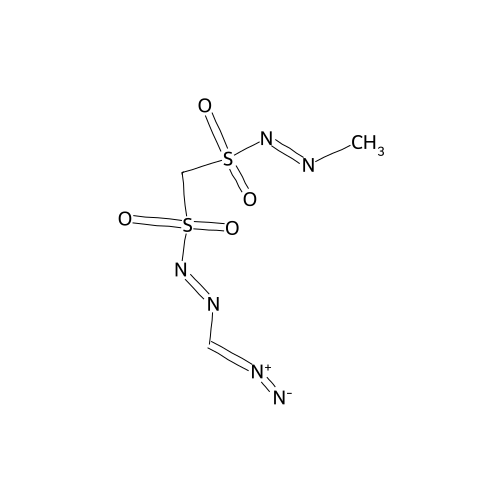 CN=NS(=O)(=O)CS(=O)(=O)N=NC=[N+]=[N-]